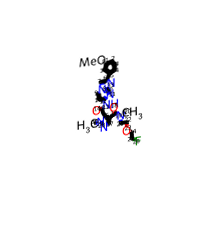 COc1cccc(-c2cn3ccc(NC(=O)c4c(C(=O)N(C)CCOCCF)cnn4C)nc3n2)c1